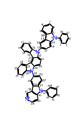 c1ccc(-n2c3ccccc3c3cc(-n4c5ccccc5c5c6c7ccccc7n(-c7ccc8c(c7)c7cnccc7n8-c7ccccc7)c6ccc54)ccc32)cc1